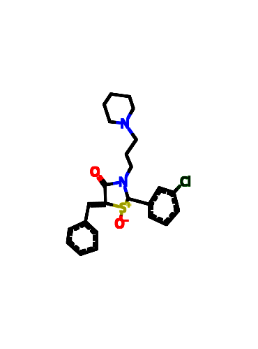 O=C1C(=Cc2ccccc2)[S+]([O-])C(c2cccc(Cl)c2)N1CCCN1CCCCC1